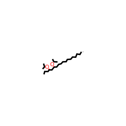 [CH2]CCCCCCCCCCCC(CC(CCC)OC(C)C)OC(C)C